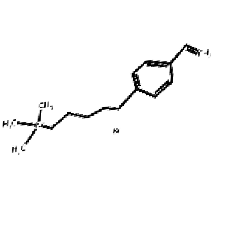 C=Cc1ccc(CCCCC[N+](C)(C)C)cc1.[Br-]